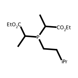 CCOC(=O)C(C)P(CCC(C)C)C(C)C(=O)OCC